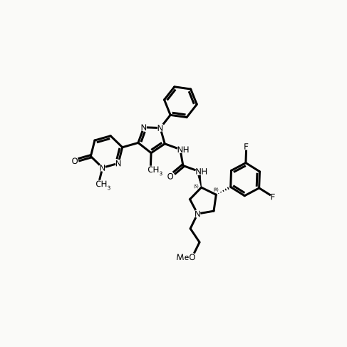 COCCN1C[C@@H](NC(=O)Nc2c(C)c(-c3ccc(=O)n(C)n3)nn2-c2ccccc2)[C@H](c2cc(F)cc(F)c2)C1